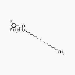 CCCCCCCCCCCCCCCCCCCCOC(=O)[C@@H](N)Cc1cc(F)cc(F)c1